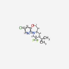 CC(C)C1CC2CCOc3cc(Cl)cnc3N2CC1(F)F